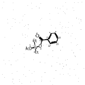 CC[Si](CC)(OC(C)=O)OC(=O)c1ccccc1